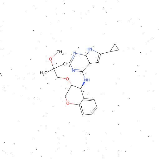 COC(C)(C)CO[C@H]1COc2ccccc2[C@@H]1NC1=NC=NC2NC(C3CC3)=CC12